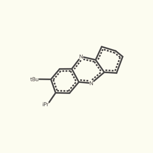 CC(C)c1cc2nc3ccccc3nc2cc1C(C)(C)C